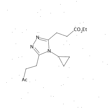 CCOC(=O)CCc1nnc(CCC(C)=O)n1C1CC1